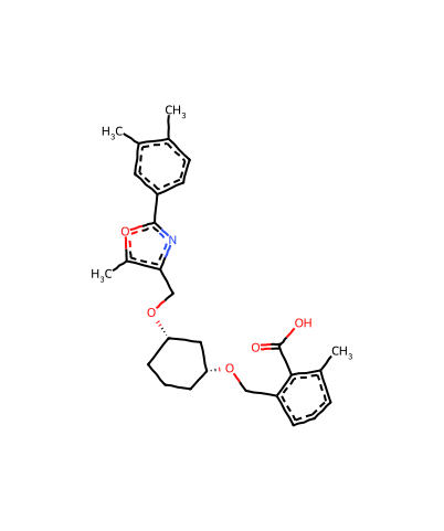 Cc1ccc(-c2nc(CO[C@H]3CCC[C@@H](OCc4cccc(C)c4C(=O)O)C3)c(C)o2)cc1C